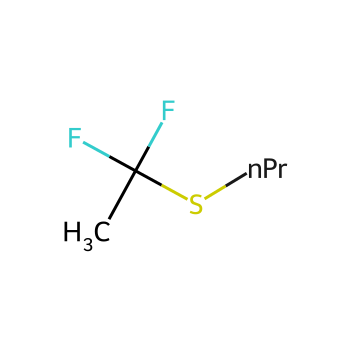 [CH2]CCSC(C)(F)F